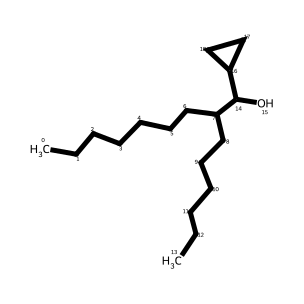 CCCCCCCC(CCCCCC)C(O)C1CC1